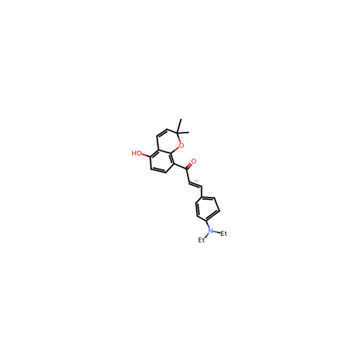 CCN(CC)c1ccc(/C=C/C(=O)c2ccc(O)c3c2OC(C)(C)C=C3)cc1